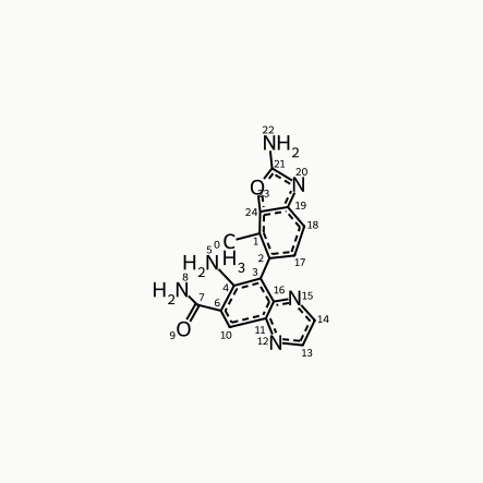 Cc1c(-c2c(N)c(C(N)=O)cc3nccnc23)ccc2nc(N)oc12